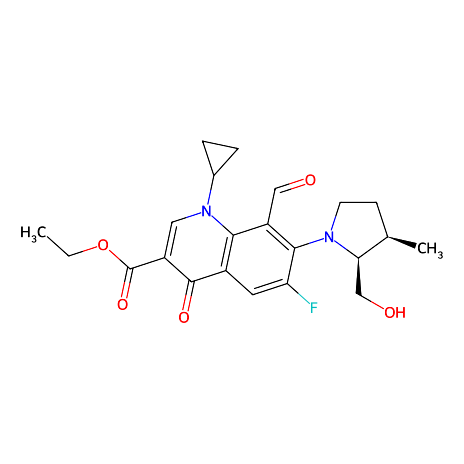 CCOC(=O)c1cn(C2CC2)c2c(C=O)c(N3CC[C@@H](C)[C@H]3CO)c(F)cc2c1=O